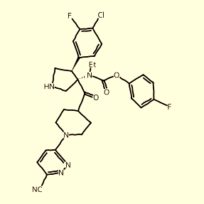 CCN(C(=O)Oc1ccc(F)cc1)[C@]1(C(=O)C2CCN(c3ccc(C#N)nn3)CC2)CNC[C@H]1c1ccc(Cl)c(F)c1